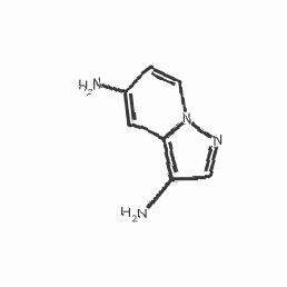 Nc1ccn2ncc(N)c2c1